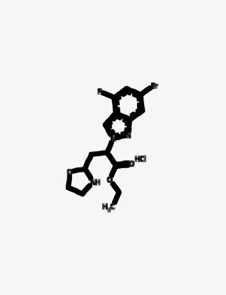 CCOC(=O)C(CC1NCCO1)n1cc2c(F)cc(Br)cc2n1.Cl